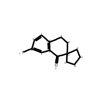 O=C1c2cc(I)ccc2CCC12CCCC2